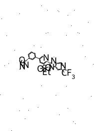 CCS(=O)(=O)c1cc(-c2cccc(-c3nnco3)c2)cnc1-c1nc2cc(C(F)(F)F)ncc2n1C